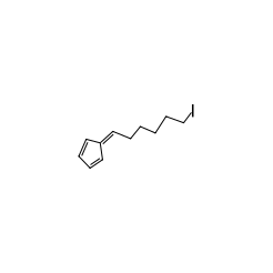 ICCCCCC=C1C=CC=C1